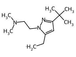 [CH2]Cc1cc(C(C)(C)C)nn1CCN(C)C